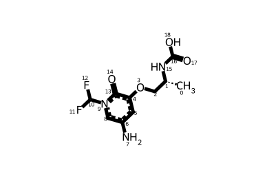 C[C@H](COc1cc(N)cn(C(F)F)c1=O)NC(=O)O